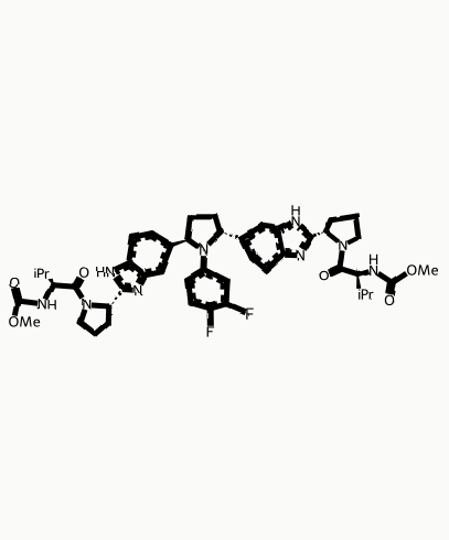 COC(=O)N[C@H](C(=O)N1CCC[C@H]1c1nc2cc([C@H]3CC[C@H](c4ccc5nc([C@@H]6CCCN6C(=O)[C@@H](NC(=O)OC)C(C)C)[nH]c5c4)N3c3ccc(F)c(F)c3)ccc2[nH]1)C(C)C